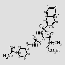 CCOC(=O)CN(C)C(=O)[C@H](CC(=O)NC[C@@H]1CCCN(C(=N)N)C1)NS(=O)(=O)c1ccc2ccccc2c1